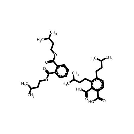 CC(C)CCOC(=O)c1ccccc1C(=O)OCCC(C)C.CC(C)CCc1ccc(C(=O)O)c(C(=O)O)c1CCC(C)C